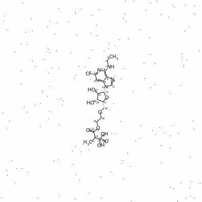 CCNc1nc(Cl)nc2c1ncn2[C@@H]1O[C@H](COCCOC(=O)C(C)P(=O)(O)O)[C@H](O)[C@H]1O